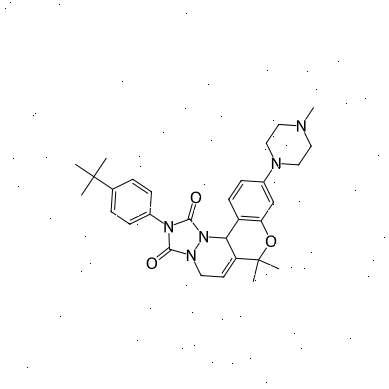 CN1CCN(c2ccc3c(c2)OC(C)(C)C2=CCn4c(=O)n(-c5ccc(C(C)(C)C)cc5)c(=O)n4C23)CC1